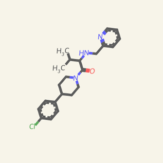 CC(C)C(NCc1ccccn1)C(=O)N1CCC(c2ccc(Cl)cc2)CC1